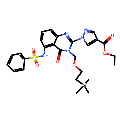 CCOC(=O)c1cnn(-c2nc3cccc(NS(=O)(=O)c4ccccc4)c3c(=O)n2COCC[Si](C)(C)C)c1